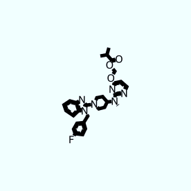 CC(C)C(=O)OCOc1ccnc(N(C)C2CCN(c3nc4ccccc4n3Cc3ccc(F)cc3)CC2)n1